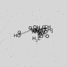 C=C[C@@H]1C[C@]1(NC(=O)C1(NC(=O)OC(C)(C)C)Cc2ccccc2C1)C(=O)NS(=O)(=O)c1ccccc1NC(=O)CCCCCCCC(=O)O